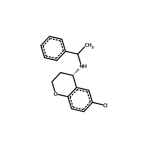 CC(N[C@H]1CCOc2ccc(Cl)cc21)c1ccccc1